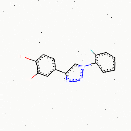 Oc1ccc(-c2cn(-c3ccccc3F)nn2)cc1O